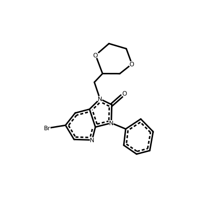 O=c1n(CC2COCCO2)c2cc(Br)cnc2n1-c1ccccc1